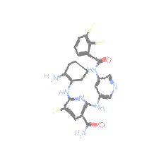 NC(=O)c1cc(F)c(NC2CCCCC2N)nc1Nc1cncc(NC(=O)c2cccc(F)c2F)c1